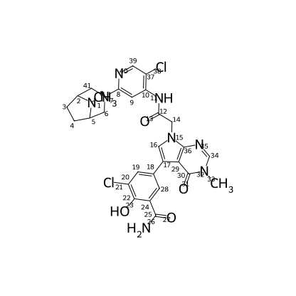 CN1C2CCC1CN(c1cc(NC(=O)Cn3cc(-c4cc(Cl)c(O)c(C(N)=O)c4)c4c(=O)n(C)cnc43)c(Cl)cn1)C2